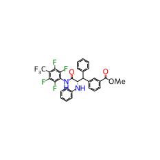 COC(=O)c1cccc(C(c2ccccc2)[C@H](Nc2ccccc2)C(=O)Nc2c(F)c(F)c(C(F)(F)F)c(F)c2F)c1